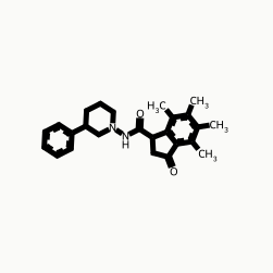 Cc1c(C)c(C)c2c(c1C)C(=O)CC2C(=O)NN1CCCC(c2ccccc2)C1